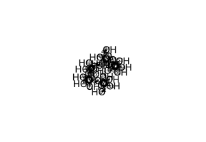 OC[C@H]1O[C@H](OC[C@H]2O[C@H](O[C@]3(CO)O[C@H](CO)[C@@H](O)[C@@H]3O)[C@H](O)[C@@H](O)[C@@H]2O)[C@H](O)[C@@H](O)[C@H]1O.OC[C@H]1O[C@H](O[C@H]2O[C@H](CO)[C@@H](O)[C@H](O)[C@H]2O)[C@H](O)[C@@H](O)[C@@H]1O